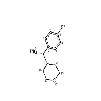 CC(C)(C)[C@H](c1ccc(F)cc1)C1CCOCC1